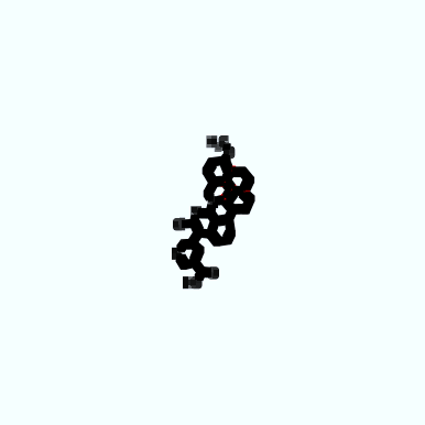 COc1ccc(CN(Cc2ccccc2)c2nc(Cl)c(-c3cncc(C(=O)O)c3)c3cccc(-c4ccccc4)c23)cc1